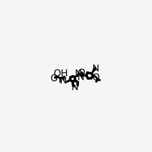 CC(C)Oc1ccc(-c2nc(-c3ccc(CN4CC(C(=O)O)C4)c4cnccc34)no2)cc1C#N